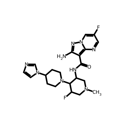 CN1CC(F)C(N2CCC(n3ccnc3)CC2)C(NC(=O)c2c(N)nn3cc(F)cnc23)C1